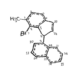 Cc1ccc2c(c1Br)C(c1cccc3ccccc13)C=C2